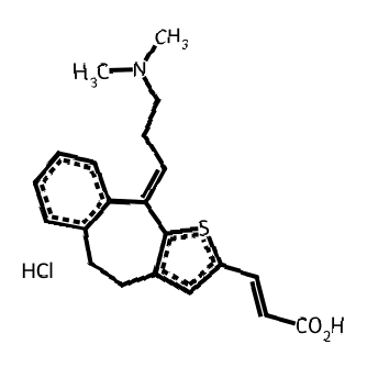 CN(C)CC/C=C1\c2ccccc2CCc2cc(/C=C/C(=O)O)sc21.Cl